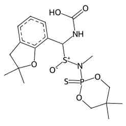 CN([S+]([O-])C(NC(=O)O)c1cccc2c1OC(C)(C)C2)P1(=S)OCC(C)(C)CO1